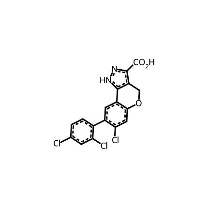 O=C(O)c1n[nH]c2c1COc1cc(Cl)c(-c3ccc(Cl)cc3Cl)cc1-2